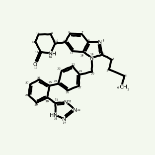 CCCCc1nc2ccc(C3CCCC(=O)N3)cc2n1Cc1ccc(-c2ccccc2-c2nnn[nH]2)cc1